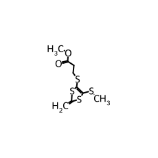 C=C1SC(SC)=C(SCCC(=O)OC)S1